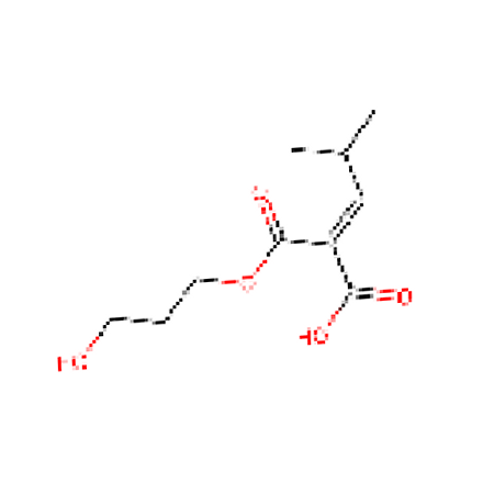 CC(C)C=C(C(=O)O)C(=O)OCCCO